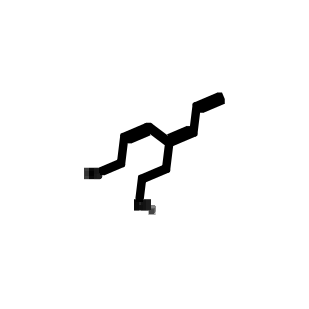 C=C/C=C(\C=C/CO)CCN